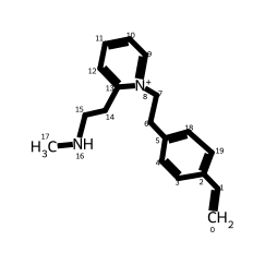 C=Cc1ccc(CC[n+]2ccccc2CCNC)cc1